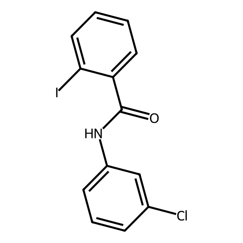 O=C(Nc1cccc(Cl)c1)c1ccccc1I